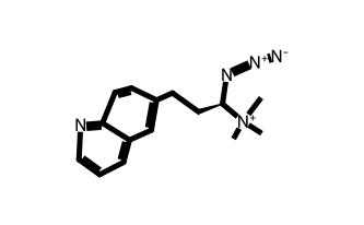 C[N+](C)(C)[C@@H](CCc1ccc2ncccc2c1)N=[N+]=[N-]